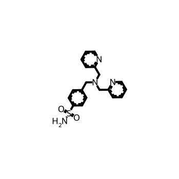 NS(=O)(=O)c1ccc(CN(Cc2ccccn2)Cc2ccccn2)cc1